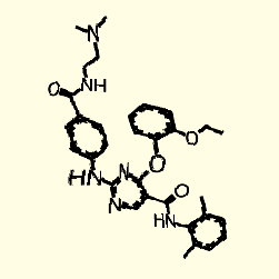 CCOc1ccccc1Oc1nc(Nc2ccc(C(=O)NCCN(C)C)cc2)ncc1C(=O)Nc1c(C)cccc1C